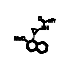 CCCC(=O)N[C@@H]1C[C@H]1c1c(OC)ccc2ccccc12